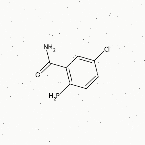 NC(=O)c1cc(Cl)ccc1P